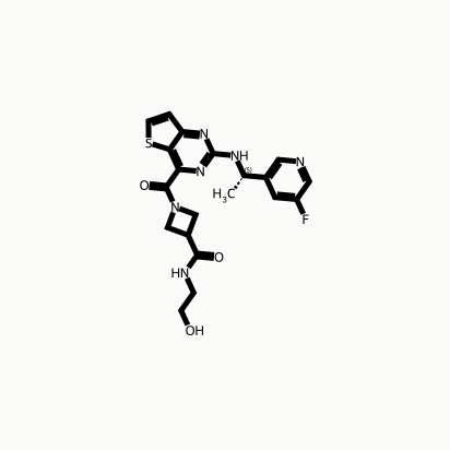 C[C@H](Nc1nc(C(=O)N2CC(C(=O)NCCO)C2)c2sccc2n1)c1cncc(F)c1